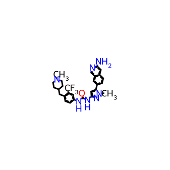 CN1CCC(Cc2ccc(NC(=O)Nc3cc(-c4ccc5cc(N)ncc5c4)n(C)n3)cc2C(F)(F)F)CC1